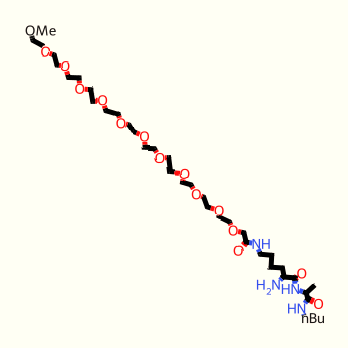 CCCCNC(=O)C(C)NC(=O)C(N)CCCCNC(=O)COCCOCCOCCOCCOCCOCCOCCOCCOCCOCCOCCOC